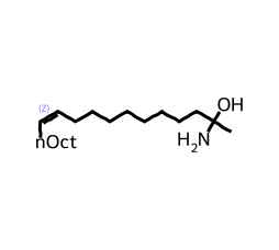 CCCCCCCC/C=C\CCCCCCCCC(C)(N)O